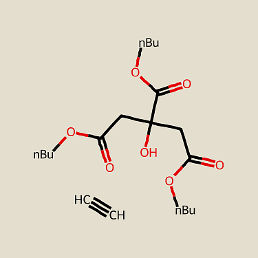 C#C.CCCCOC(=O)CC(O)(CC(=O)OCCCC)C(=O)OCCCC